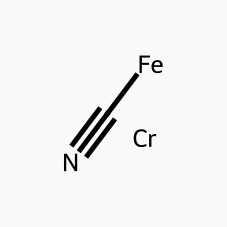 N#[C][Fe].[Cr]